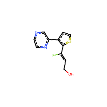 OCC=C(F)c1sccc1-c1cnccn1